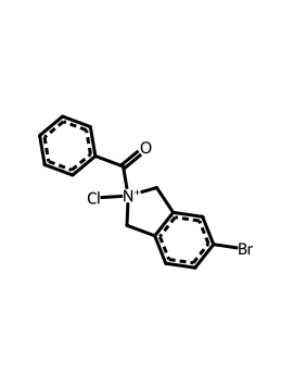 O=C(c1ccccc1)[N+]1(Cl)Cc2ccc(Br)cc2C1